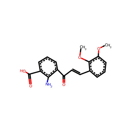 COc1cccc(C=CC(=O)c2cccc(C(=O)O)c2N)c1OC